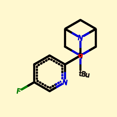 CC(C)(C)N1CC2CC(C1)N2Cc1ccc(F)cn1